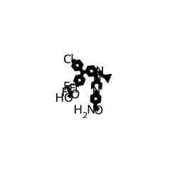 NC(=O)c1ccc(N2CCC(n3c(C4CC4)nc4ccc(C(c5ccc(Cl)cc5)c5ccc(Cl)cc5)cc43)CC2)cc1.O=C(O)C(F)(F)F